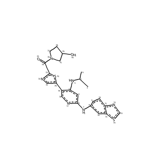 CC(C)Nc1cc(Nc2ccc3ncsc3c2)ncc1-c1cnc(C(=O)N2CCC(O)C2)s1